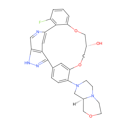 O[C@@H]1COc2cc(ccc2N2CCN3CCOC[C@H]3C2)-c2n[nH]c3cnc(cc23)-c2c(F)cccc2OC1